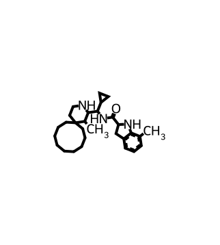 Cc1cccc2c1NC(C(=O)NC(C1CC1)C1NCCC3(CCCCCCCCC3)C1C)C2